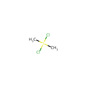 CS(C)(Cl)Cl